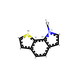 CCn1ccc2ccc3ccsc3c21